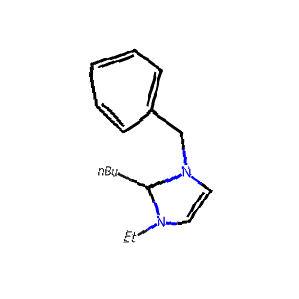 CCCCC1N(CC)C=CN1Cc1ccccc1